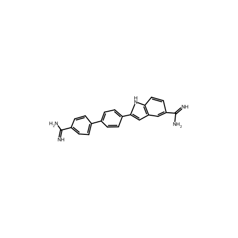 N=C(N)c1ccc(-c2ccc(-c3cc4cc(C(=N)N)ccc4[nH]3)cc2)cc1